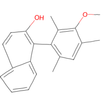 COc1c(C)cc(C)c(-c2c(O)ccc3ccccc23)c1C